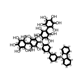 Oc1c(O)c(O)c(-c2c(O)c(O)c(N(c3ccc(-c4cccc(-n5c6ccccc6c6ccccc65)c4)cc3)c3c(O)c(O)c(-c4c(O)c(O)c(O)c(O)c4O)c(O)c3O)c(O)c2O)c(O)c1O